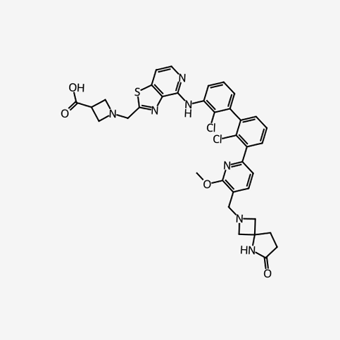 COc1nc(-c2cccc(-c3cccc(Nc4nccc5sc(CN6CC(C(=O)O)C6)nc45)c3Cl)c2Cl)ccc1CN1CC2(CCC(=O)N2)C1